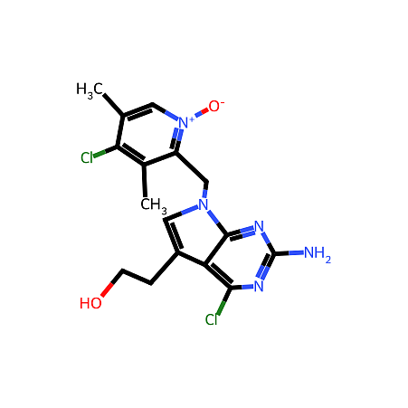 Cc1c[n+]([O-])c(Cn2cc(CCO)c3c(Cl)nc(N)nc32)c(C)c1Cl